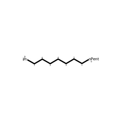 CCCCCCCCC[CH]CCC(C)C